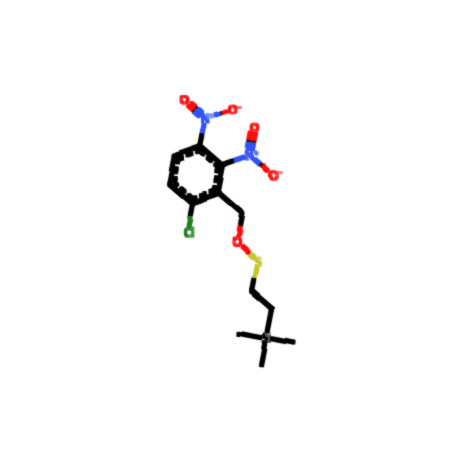 C[Si](C)(C)CCSOCc1c(Cl)ccc([N+](=O)[O-])c1[N+](=O)[O-]